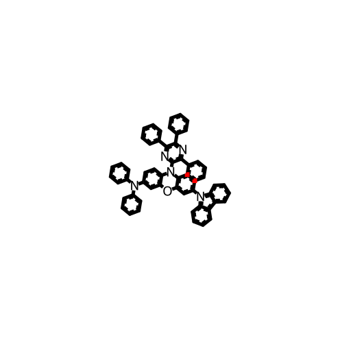 c1ccc(-c2nc(-c3ccccc3)c(N3c4ccc(N(c5ccccc5)c5ccccc5)cc4Oc4cc(-n5c6ccccc6c6ccccc65)ccc43)nc2-c2ccccc2)cc1